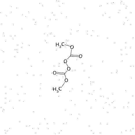 COC(=O)OOC(=O)OC